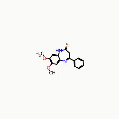 COc1cc2c(cc1OC)NC(=S)CC(c1ccccc1)=N2